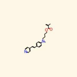 C=C(C)C(=O)OCCCCN(C)c1ccc(C=Cc2ccncc2)cc1